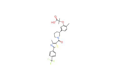 Cc1ccc([C@@H]2CCCN(C(=O)c3sc(-c4ccc(C(F)(F)F)cc4)nc3C)C2)cc1OC(C)(C)C(=O)O